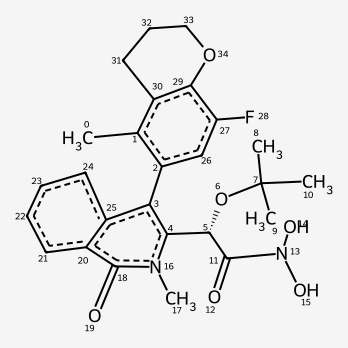 Cc1c(-c2c([C@H](OC(C)(C)C)C(=O)N(O)O)n(C)c(=O)c3ccccc23)cc(F)c2c1CCCO2